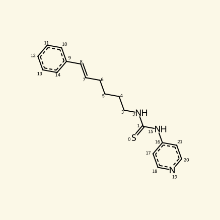 S=C(NCCCCC=Cc1ccccc1)Nc1ccncc1